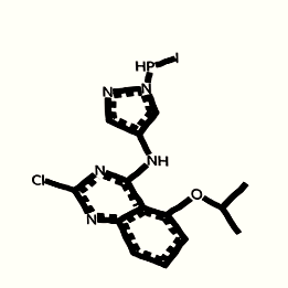 CC(C)Oc1cccc2nc(Cl)nc(Nc3cnn(PI)c3)c12